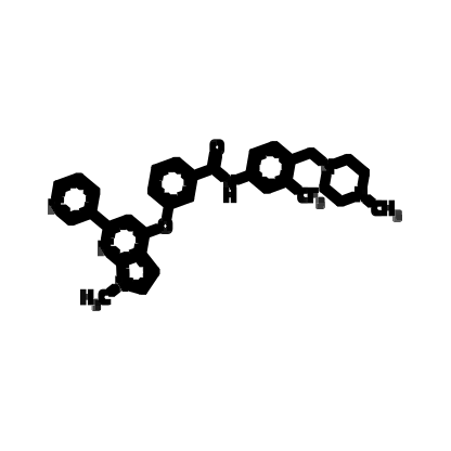 CN1CCN(Cc2ccc(NC(=O)c3cccc(Oc4cc(-c5cccnc5)nc5c4ccn5C)c3)cc2C(F)(F)F)CC1